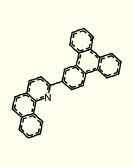 c1ccc2c(c1)ccc1ccc(-c3ccc4c5ccccc5c5ccccc5c4c3)nc12